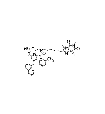 Cn1c(=O)c2c(nc(CCCCCCN3CC(C(=O)O)n4c(c(-c5cccc(C(F)(F)F)c5)c(Cc5cccc6ccccc56)cc4=O)S3(=O)=O)n2C)n(C)c1=O